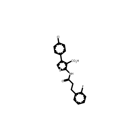 O=C(CCc1ccccc1F)Nc1scc(-c2ccc(Cl)cc2)c1C(=O)O